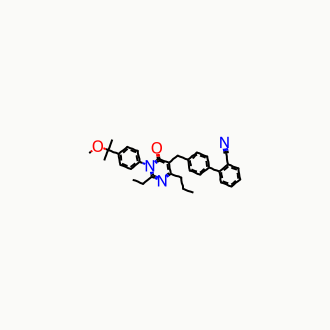 CCCc1nc(CC)n(-c2ccc(C(C)(C)OC)cc2)c(=O)c1Cc1ccc(-c2ccccc2C#N)cc1